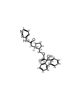 C[N@+]1(CC(=O)Nc2cccnn2)CCCC1COC(=O)C1(O)c2ccccc2-c2ccccc21